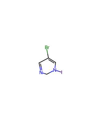 BrC1=CN(I)CN=C1